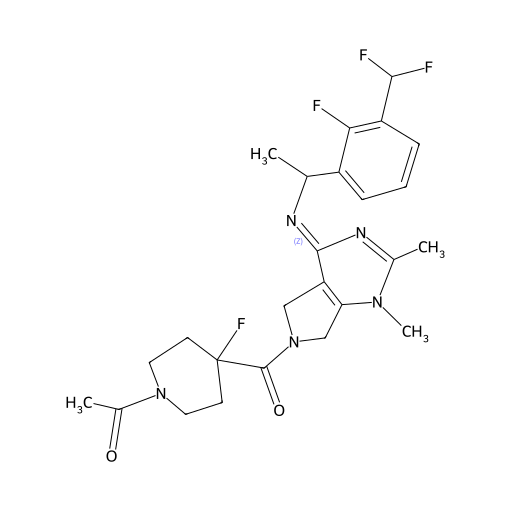 CC(=O)N1CCC(F)(C(=O)N2Cc3c(n(C)c(C)n/c3=N\C(C)c3cccc(C(F)F)c3F)C2)CC1